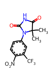 CC1(C)C(=O)NC(=O)N1c1ccc([N+](=O)[O-])c(C(F)(F)F)c1